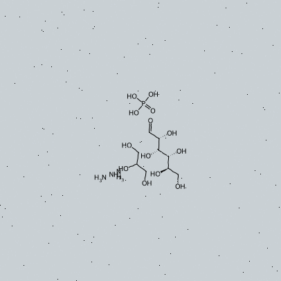 N.N.N.O=C[C@H](O)[C@@H](O)[C@H](O)[C@H](O)CO.O=P(O)(O)O.OCC(O)CO